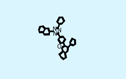 c1ccc(-c2nc(-c3ccc4ccccc4c3)nc(-c3ccc4c(c3)oc3c5ccccc5cc(-c5ccccc5)c43)n2)cc1